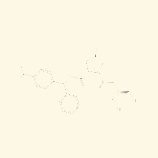 CC(C)c1ccc(C(NC(=O)C2CC(F)CN2C(=O)C/C(=C/N)NN)c2ccccc2)cc1